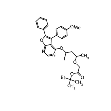 CCC(C)(C)OC(=O)COC(C)CC(I)Oc1ncnc2oc(-c3ccccc3)c(-c3ccc(OC)cc3)c12